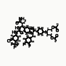 CC(=O)OCCN(CCOC(C)=O)c1ccc(-c2nc3cc(C(CC(N)=O)NC(=O)Nc4ccc(C(F)(F)F)c(Cl)c4)ccc3n2Cc2ccc(F)c(F)c2)cc1